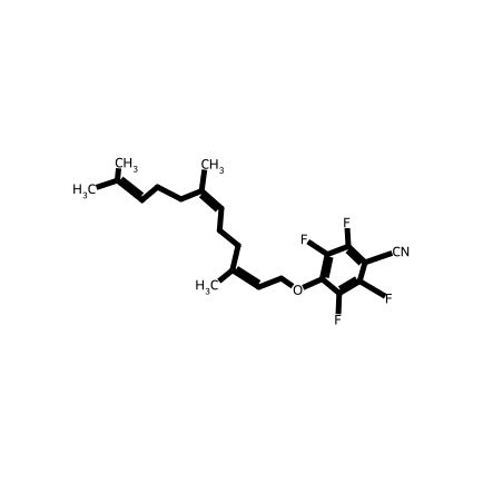 CC(C)=CCCC(C)=CCCC(C)=CCOc1c(F)c(F)c(C#N)c(F)c1F